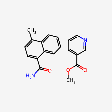 COC(=O)c1cccnc1.Cc1ccc(C(N)=O)c2ccccc12